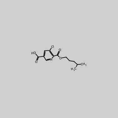 CC(C)CCCOC(=O)c1ncc(C(=O)O)cc1Cl